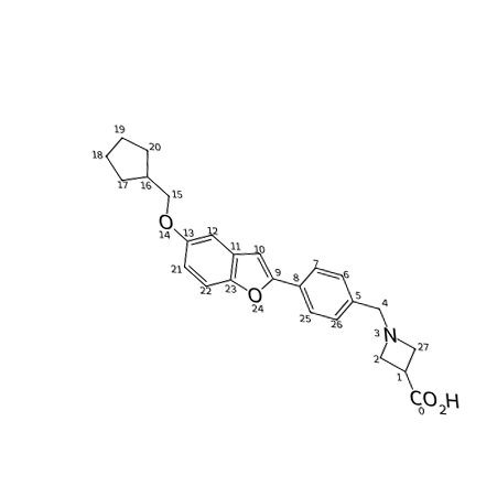 O=C(O)C1CN(Cc2ccc(-c3cc4cc(OCC5CCCC5)ccc4o3)cc2)C1